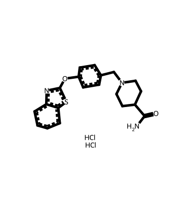 Cl.Cl.NC(=O)C1CCN(Cc2ccc(Oc3nc4ccccc4s3)cc2)CC1